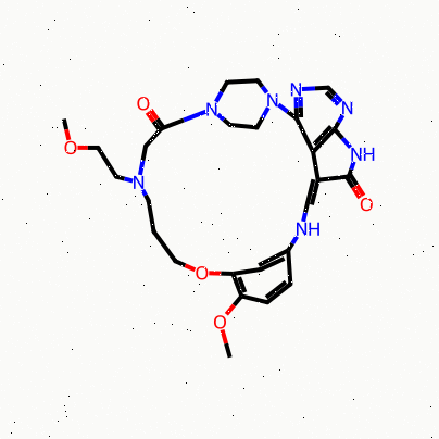 COCCN1CCCOc2cc(ccc2OC)N/C=C2\C(=O)Nc3ncnc(c32)N2CCN(CC2)C(=O)C1